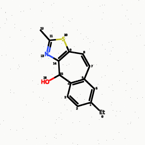 CCc1ccc2c(c1)C=Cc1sc(C)nc1C2O